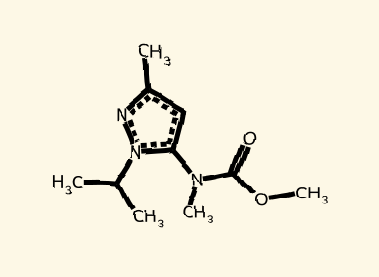 COC(=O)N(C)c1cc(C)nn1C(C)C